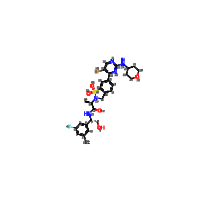 CCc1cc(F)cc([C@@H](CO)NC(=O)[C@@H](C)N2Cc3ccc(-c4nc(NC5CCOCC5)ncc4Br)cc3S2(=O)=O)c1